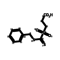 O=C(O)CCS(=O)(=O)C(=S)SCc1ccccc1